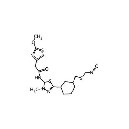 COc1nc(CC(=O)NC2SC(C3CCC[C@H](CSCN=O)C3)=NN2C)cs1